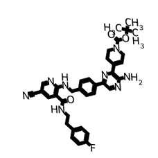 CC(C)(C)OC(=O)N1CC=C(c2nc(-c3ccc(CNc4ncc(C#N)cc4C(=O)NCCc4ccc(F)cc4)cc3)cnc2N)CC1